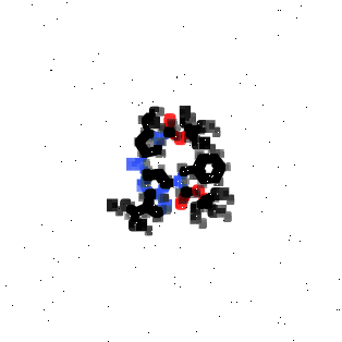 CC[C@@H]1C[C@H](Nc2cc(N(Cc3ccccc3)C(=O)OC(C)(C)C)n3ncc(C(C)C)c3n2)CN1C(=O)OC(C)(C)C